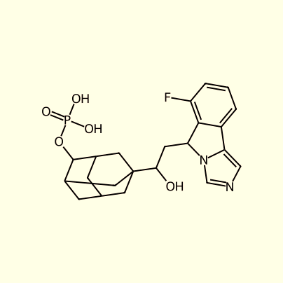 O=P(O)(O)OC1C2CC3CC1CC(C(O)CC1c4c(F)cccc4-c4cncn41)(C3)C2